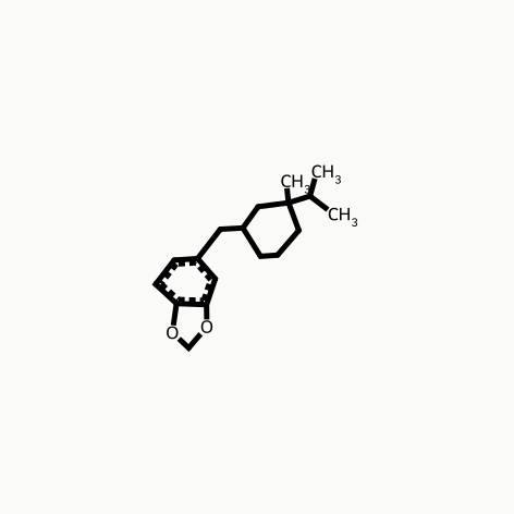 CC(C)C1(C)CCCC(Cc2ccc3c(c2)OCO3)C1